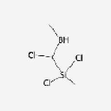 CBC(Cl)[Si](C)(Cl)Cl